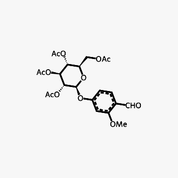 COc1cc(O[C@@H]2O[C@H](COC(C)=O)[C@@H](OC(C)=O)[C@H](OC(C)=O)[C@H]2OC(C)=O)ccc1C=O